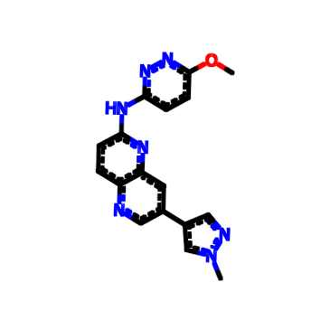 COc1ccc(Nc2ccc3ncc(-c4cnn(C)c4)cc3n2)nn1